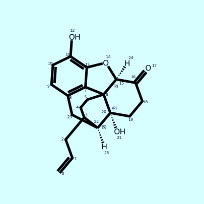 C=CCC1CCC23c4c5ccc(O)c4O[C@H]2C(=O)CC[C@@]3(O)[C@H]1C5